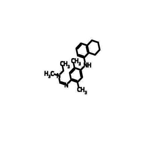 CCN(C)/C=N\c1cc(C)c(Nc2cccc3c2CCCC3)cc1C